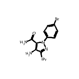 CC(C)c1nn(-c2ccc(Br)cc2)c(C(N)=O)c1N